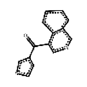 O=C(c1ccsc1)c1cncc2ccccc12